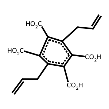 C=CCc1c(C(=O)O)c(C(=O)O)c(CC=C)c(C(=O)O)c1C(=O)O